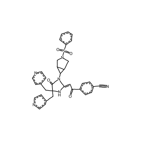 N#Cc1ccc(C(=O)C=C2NC(Cc3ccncc3)(Cc3ccncc3)C(=O)N2C2C3CN(S(=O)(=O)c4ccccc4)CC32)cc1